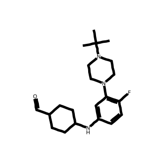 CC(C)(C)N1CCN(c2cc(NC3CCC(C=O)CC3)ccc2F)CC1